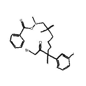 CN(CC(C)(C)CCCC(C)(C(=O)CBr)c1cccc(I)c1)OC(=O)c1ccccc1